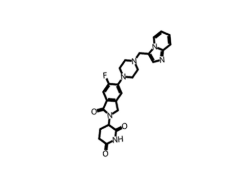 O=C1CCC(N2Cc3cc(N4CCN(Cc5cnc6ccccn56)CC4)c(F)cc3C2=O)C(=O)N1